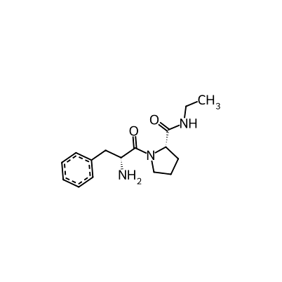 CCNC(=O)[C@@H]1CCCN1C(=O)[C@H](N)Cc1ccccc1